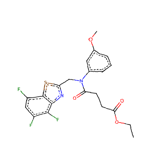 CCOC(=O)CCC(=O)N(Cc1nc2c(F)c(F)cc(F)c2s1)c1cccc(OC)c1